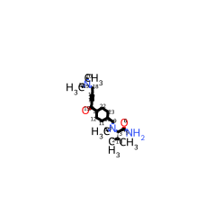 CC(C)[C@@H](C(N)=O)N(C)CC1CCC(C(=O)C#CCN(C)C)CC1